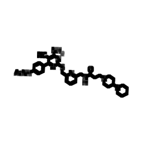 CC(=O)Nc1ccc(-c2nc(SCc3cccc(CNC(=O)CCN4CCC(N5CCCCC5)CC4)n3)nc(N)c2C#N)cc1